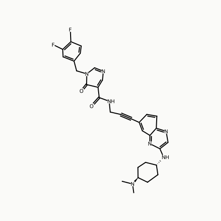 CN(C)[C@H]1CC[C@H](Nc2cnc3ccc(C#CCNC(=O)c4cncn(Cc5ccc(F)c(F)c5)c4=O)cc3n2)CC1